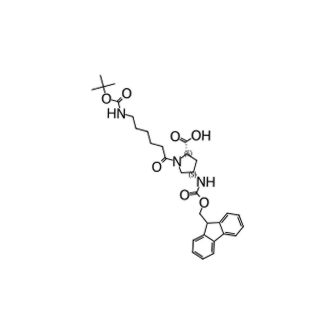 CC(C)(C)OC(=O)NCCCCCC(=O)N1C[C@@H](NC(=O)OCC2c3ccccc3-c3ccccc32)C[C@H]1C(=O)O